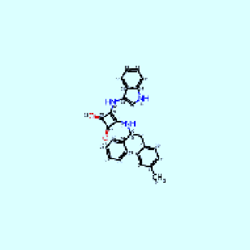 Cc1ccc(C[C@H](Nc2c(Nc3c[nH]c4ccccc34)c(=O)c2=O)c2ccccc2)cc1